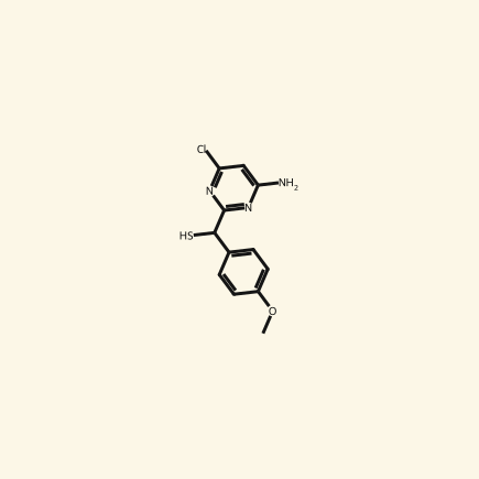 COc1ccc(C(S)c2nc(N)cc(Cl)n2)cc1